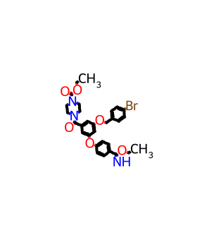 CCOC(=N)c1ccc(Oc2cc(OCc3ccc(Br)cc3)cc(C(=O)N3CCN(C(=O)OCC)CC3)c2)cc1